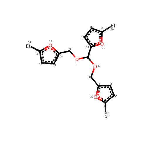 CCc1ccc(COC(OCc2ccc(CC)o2)c2ccc(CC)o2)o1